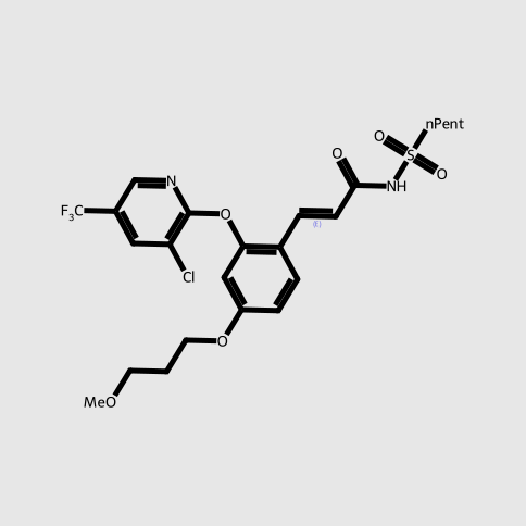 CCCCCS(=O)(=O)NC(=O)/C=C/c1ccc(OCCCOC)cc1Oc1ncc(C(F)(F)F)cc1Cl